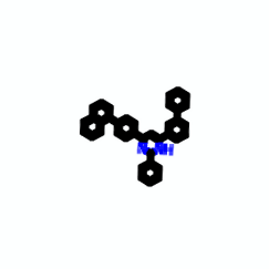 C1=C(c2cccc(-c3ccccc3)c2)NC(c2ccccc2)N=C1c1ccc(-c2cccc3ccccc23)cc1